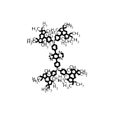 CCC1(CC)CC(C)(C)c2c1cc1c(c2-c2ccc(N(c3ccc(-c4c5c(cc6c4C(C)(C)CC6(CC)CC)C(CC)(CC)CC5(C)C)cc3)c3ccc(-c4c5nccnc5c(-c5ccc(N(c6ccc(-c7c8c(cc9c7C(C)(C)CC9(CC)CC)C(CC)(CC)CC8(C)C)cc6)c6ccc(-c7c8c(cc9c7C(C)(C)CC9(CC)CC)C(CC)(CC)CC8(C)C)cc6)cc5)c5nsnc45)cc3)cc2)C(C)(C)CC1(CC)CC